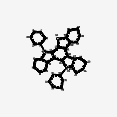 c1ccc(-n2c3ccccc3c3c2c2oc4ccccc4c2c2c4ccccc4n(-c4ccccc4)c23)cc1